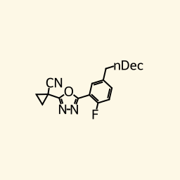 CCCCCCCCCCCc1ccc(F)c(-c2nnc(C3(C#N)CC3)o2)c1